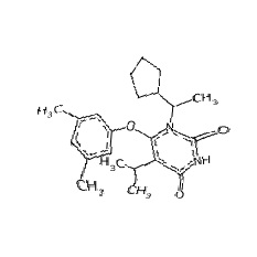 Cc1cc(C)cc(Oc2c(C(C)C)c(=O)[nH]c(=O)n2C(C)C2CCCC2)c1